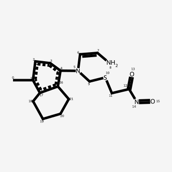 Cc1ccc(N(/C=C\N)CSCC(=O)N=O)c2c1CCCC2